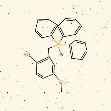 COc1ccc(O)c(CP(Br)(c2ccccc2)(c2ccccc2)c2ccccc2)c1